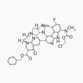 CN1CC2[C@@H](CCN2c2c(-c3cnc4c(c3)c(=O)c(C(=O)OCc3ccccc3)cn4C)cnc3[nH]c4c(N(C)C(=O)OCCl)cc(F)c(C#N)c4c23)C1